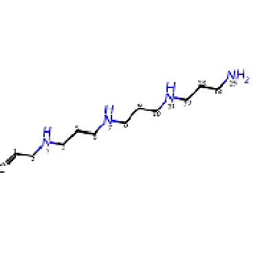 C=CCNCCCNCCCNCCCN